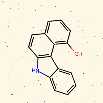 Oc1cccc2ccc3[nH]c4ccccc4c3c12